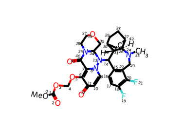 COC(=O)OCOc1c2n(ccc1=O)N(C1c3ccc(F)c(F)c3CN(C)[C@@H]3C4CCC(CC4)[C@@H]13)C1COCCN1C2=O